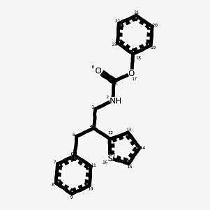 O=C(NCC(Cc1ccccc1)c1cccs1)Oc1ccccc1